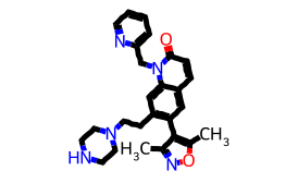 Cc1noc(C)c1-c1cc2ccc(=O)n(Cc3ccccn3)c2cc1CCN1CCNCC1